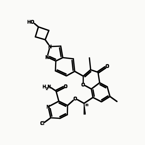 Cc1cc([C@@H](C)Oc2ccc(Cl)nc2C(N)=O)c2oc(-c3ccc4nn(C5CC(O)C5)cc4c3)c(C)c(=O)c2c1